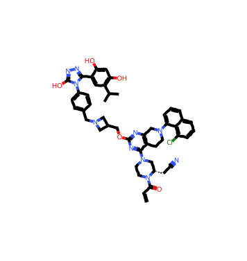 C=CC(=O)N1CCN(c2nc(OCC3CN(Cc4ccc(-n5c(O)nnc5-c5cc(C(C)C)c(O)cc5O)cc4)C3)nc3c2CCN(c2cccc4cccc(Cl)c24)C3)C[C@@H]1CC#N